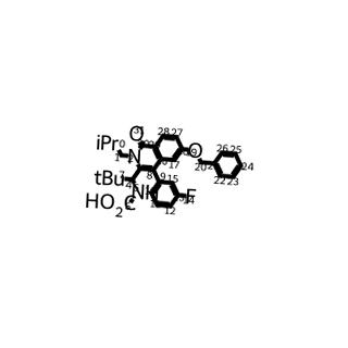 CC(C)Cn1c(C(NC(=O)O)C(C)(C)C)c(-c2cccc(F)c2)c2cc(OCc3ccccc3)ccc2c1=O